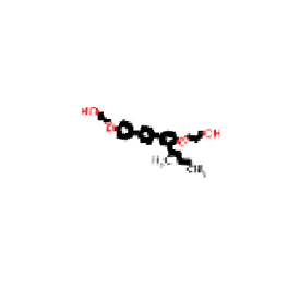 CCCCC(C)c1cc(C2=CCC(c3ccc(OCCCO)cc3)C=C2)ccc1OCCCO